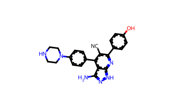 N#Cc1c(-c2ccc(O)cc2)nc2[nH]nc(N)c2c1-c1ccc(N2CCNCC2)cc1